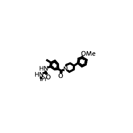 COc1cccc(C2CCN(C(=O)c3ccc(C)c(NC(=O)NC(C)C)c3)CC2)c1